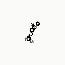 O=C1c2ccc(OCc3cncc(Br)c3)cc2CN1C1CCCC1